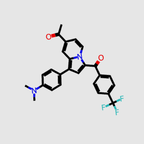 CC(=O)c1ccn2c(C(=O)c3ccc(C(F)(F)F)cc3)cc(-c3ccc(N(C)C)cc3)c2c1